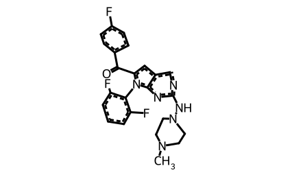 CN1CCN(Nc2ncc3cc(C(=O)c4ccc(F)cc4)n(-c4c(F)cccc4F)c3n2)CC1